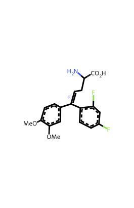 COc1ccc(/C(=C/CC(N)C(=O)O)c2ccc(F)cc2F)cc1OC